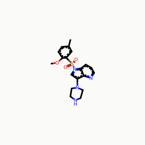 COc1ccc(C)cc1S(=O)(=O)n1cc(N2CCNCC2)c2ncccc21